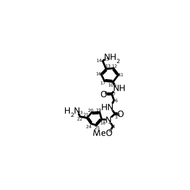 COCN(C(=O)NCC(=O)Nc1ccc(CN)cc1)c1ccc(CN)cc1